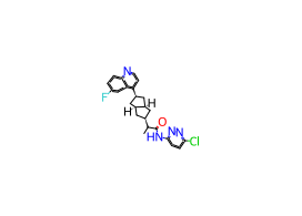 CC(C(=O)Nc1ccc(Cl)nn1)[C@H]1C[C@H]2C[C@@H](c3ccnc4ccc(F)cc34)C[C@H]2C1